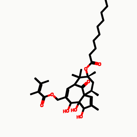 CCCCCCCCCC(=O)O[C@]1(C)C[C@@H](C)C23C=C(C)C(O)C2(O)C(O)C(COC(=O)C(C)=C(C)C)=CC(C3=O)C1(C)C